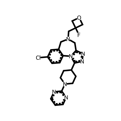 FC1(CN2Cc3cc(Cl)ccc3-n3c(nnc3C3CCN(c4ncccn4)CC3)C2)COC1